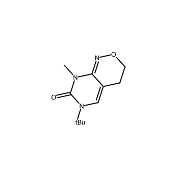 CN1C(=O)N(C(C)(C)C)C=C2CCON=C21